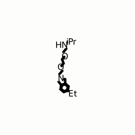 CCc1ccc2c(c1)CN(CCOCCOCCNC(C)C)C2